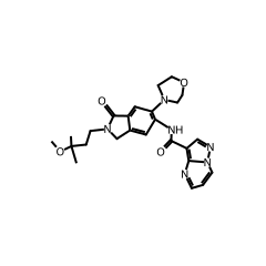 COC(C)(C)CCN1Cc2cc(NC(=O)c3cnn4cccnc34)c(N3CCOCC3)cc2C1=O